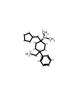 C[As](C)C1(CC2CCCC2)CCC(CN)(c2ccccc2)CC1